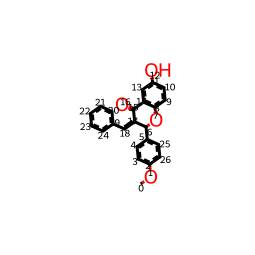 COc1ccc(C2Oc3ccc(O)cc3C(=O)C2=Cc2ccccc2)cc1